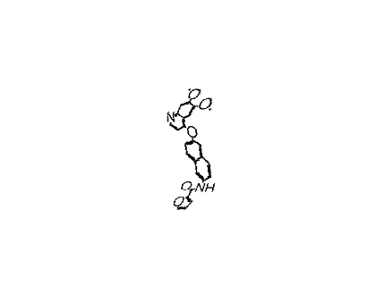 COc1cc2nccc(Oc3ccc4cc(NC(=O)c5ccco5)ccc4c3)c2cc1OC